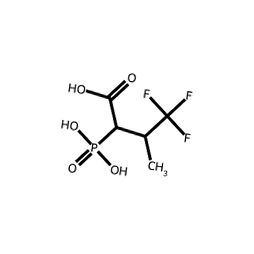 CC(C(C(=O)O)P(=O)(O)O)C(F)(F)F